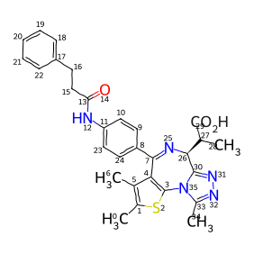 Cc1sc2c(c1C)C(c1ccc(NC(=O)CCc3ccccc3)cc1)=N[C@@H](C(C)C(=O)O)c1nnc(C)n1-2